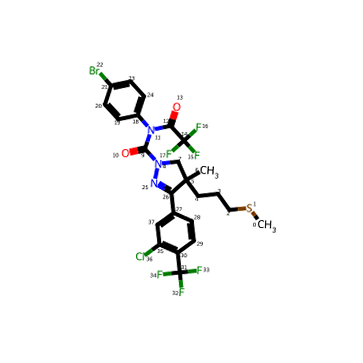 CSCCCC1(C)CN(C(=O)N(C(=O)C(F)(F)F)c2ccc(Br)cc2)N=C1c1ccc(C(F)(F)F)c(Cl)c1